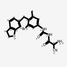 Cc1cc(NC(=O)NC(=O)C(N)C#N)cc(Br)c1Cc1ccc2c(c1)OCC2